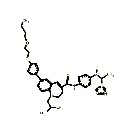 CCCCOCCOc1ccc(-c2ccc3c(c2)C=C(C(=O)Nc2ccc([S+]([O-])C(C)n4cnnc4)cc2)CCN3CC(C)C)cc1